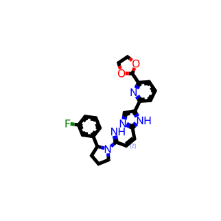 N=C(/C=C\c1ncc(-c2cccc(C3OCCO3)n2)[nH]1)N1CCCC1c1cccc(F)c1